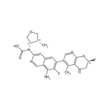 Cc1c(-c2cc3cc(N(C(=O)O)[C@@H]4COC[C@@H]4C)ncc3c(N)c2F)cnc2c1NC[C@H](F)O2